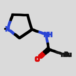 CCCCC(=O)NC1CC[N]C1